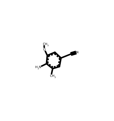 COc1cc(C#N)cc(C)c1N